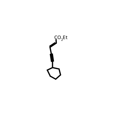 CCOC(=O)C=CC#CC1CCCCC1